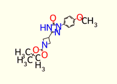 COc1ccc(-n2nc(C3CN(C(=O)OC(C)(C)C)C3)[nH]c2=O)cc1